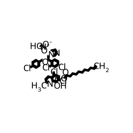 C=CCCCCCCCCC(=O)O.Cc1ccc2c(Cl)cc(Cl)c(O)c2n1.Clc1ccc(COC(Cn2ccnc2)c2ccc(Cl)cc2Cl)cc1.O=[N+]([O-])O